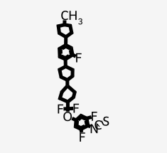 CC1CCC(c2ccc(C3CCC(C4CCC(C(F)(F)Oc5cc(F)c(N=C=S)c(F)c5)CC4)CC3)c(F)c2)CC1